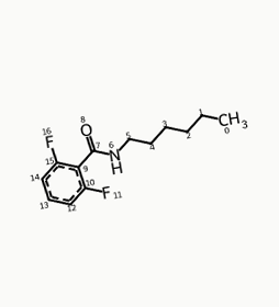 CCCCCCNC(=O)c1c(F)cccc1F